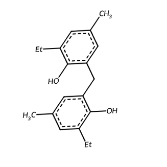 CCc1cc(C)cc(Cc2cc(C)cc(CC)c2O)c1O